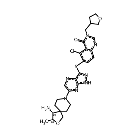 C[C@@H]1OCC2(CCN(c3cnc4c(Sc5ccc6ncn(CC7CCOC7)c(=O)c6c5Cl)n[nH]c4n3)CC2)[C@@H]1N